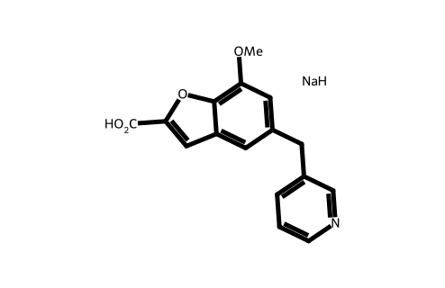 COc1cc(Cc2cccnc2)cc2cc(C(=O)O)oc12.[NaH]